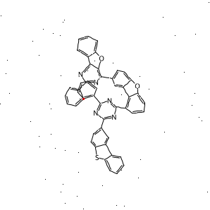 c1ccc(-c2nc(-c3ccc4sc5ccccc5c4c3)nc(-c3cccc4oc5ccc(-c6nc(-c7ccccc7)nc7c6oc6ccccc67)cc5c34)n2)cc1